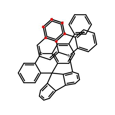 c1ccc(-c2ccc3c(c2)Oc2ccccc2C32c3ccccc3-c3cccc(N(c4ccccc4-c4ccccc4)c4cccc5ccccc45)c32)cc1